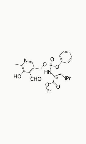 Cc1ncc(COP(=O)(N[C@@H](CC(C)C)C(=O)OC(C)C)Oc2ccccc2)c(C=O)c1O